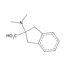 CN(C)C1(C(=O)O)Cc2ccccc2C1